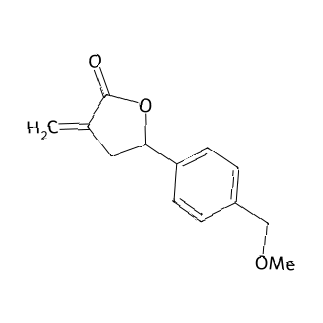 C=C1CC(c2ccc(COC)cc2)OC1=O